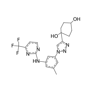 Cc1cc(Nc2nccc(C(F)(F)F)n2)cc(-n2cc(C3(O)CCC(O)CC3)nn2)c1